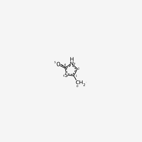 [CH2]c1c[nH]c(=O)s1